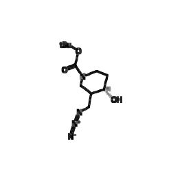 CC(C)(C)OC(=O)N1CC[C@H](O)C(CN=[N+]=[N-])C1